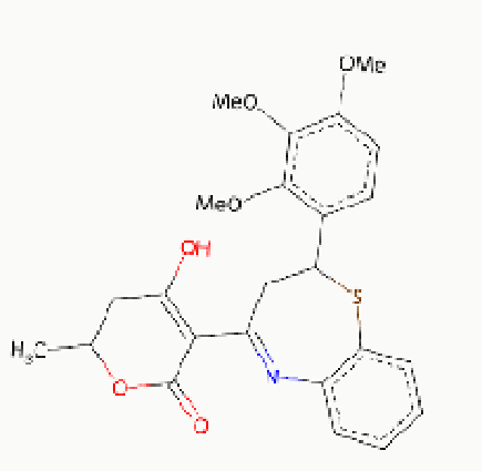 COc1ccc(C2CC(C3=C(O)CC(C)OC3=O)=Nc3ccccc3S2)c(OC)c1OC